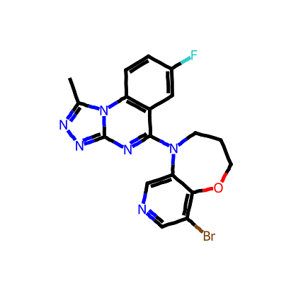 Cc1nnc2nc(N3CCCOc4c(Br)cncc43)c3cc(F)ccc3n12